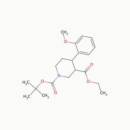 CCOC(=O)C1CN(C(=O)OC(C)(C)C)CCC1c1ccccc1OC